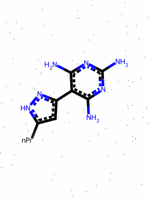 CCCc1cc(-c2c(N)nc(N)nc2N)n[nH]1